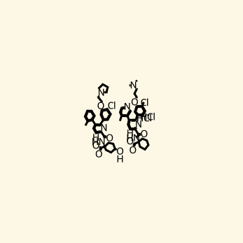 Cc1ccccc1-c1ccc(C(=O)NC2(C(=O)O)CCC(O)CC2)nc1-c1ccc(Cl)c(OCCN2CCCC2)c1.Cc1ccncc1-c1ccc(C(=O)NC2(C(=O)O)CCCCC2)nc1-c1ccc(Cl)c(OCCCN(C)C)c1.Cl.Cl